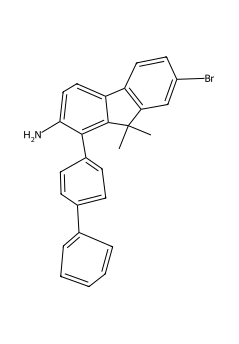 CC1(C)c2cc(Br)ccc2-c2ccc(N)c(-c3ccc(-c4ccccc4)cc3)c21